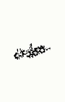 C[C@@H]1C[C@H]([C@H](Oc2ncccn2)C(C)(C)O)O[C@H]2[C@@H]1[C@@]1(C)CC[C@]3(C)[C@@H](CC[C@H]4C(C)(C)[C@@H](O)CC[C@@]43C)[C@]1(C)[C@H]2O